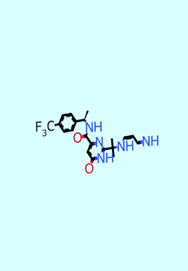 C[C@@H](NC(=O)c1cc(=O)[nH]c(C(C)(C)N/C=C\C=N)n1)c1ccc(C(F)(F)F)cc1